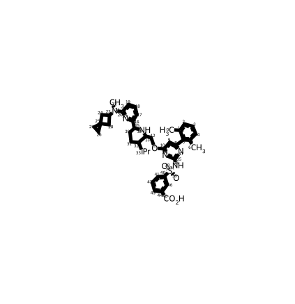 Cc1cccc(C)c1-c1cc(OCC2NC(c3cccc(N(C)C4CC5(CC5)C4)n3)CCC2C(C)C)nc(NS(=O)(=O)c2cccc(C(=O)O)c2)n1